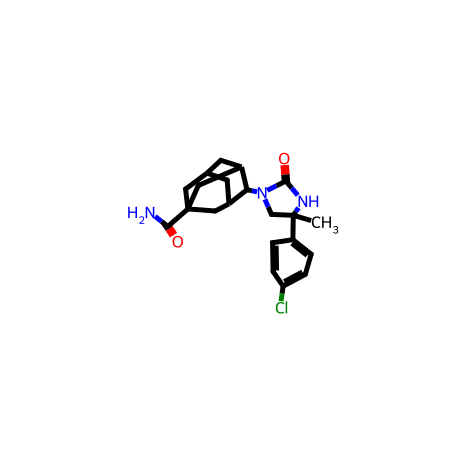 CC1(c2ccc(Cl)cc2)CN(C2C3CC4CC2CC(C(N)=O)(C4)C3)C(=O)N1